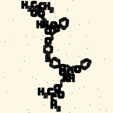 C=C(C)C(=O)OCCNC(=O)OC(COc1ccccc1)COc1ccc(Sc2ccc(OCC(COc3ccccc3)OC(=O)NCCOC(=O)C(=C)C)cc2)cc1